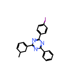 CC1C=CC=C(c2nc(-c3ccccc3)nc(-c3ccc(I)cc3)n2)C1